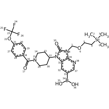 C[Si](C)(C)CCOCn1c(=O)n(C2CCN(C(=O)c3ccc(OC(F)(F)F)cc3)CC2)c2cc(B(O)O)cnc21